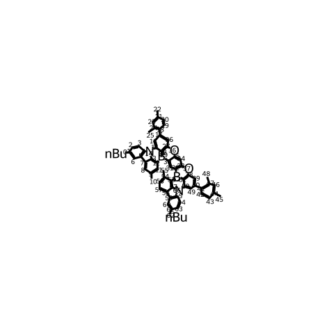 CCCCc1ccc2c(c1)c1cc(C)cc3c1n2-c1cc(-c2ccc(C)cc2C)cc2c1B3c1cc3c(cc1O2)Oc1cc(-c2ccc(C)cc2C)cc2c1B3c1c(C)ccc3c4cc(CCCC)ccc4n-2c13